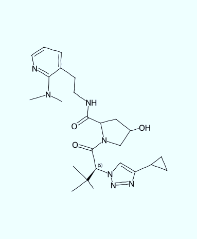 CN(C)c1ncccc1CCNC(=O)C1CC(O)CN1C(=O)[C@@H](n1cc(C2CC2)nn1)C(C)(C)C